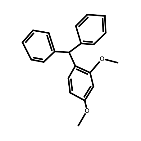 COc1ccc(C(c2ccccc2)c2ccccc2)c(OC)c1